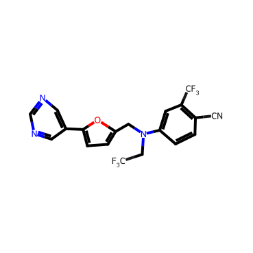 N#Cc1ccc(N(Cc2ccc(-c3cncnc3)o2)CC(F)(F)F)cc1C(F)(F)F